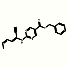 C#C/C(=C\C=C/C)Nc1ncc(C(=O)OCc2ccccc2)cn1